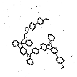 C=Cc1ccc(-c2ccc(OCCCCC3(c4ccccc4)c4ccccc4-c4ccc(N(c5ccccc5)c5ccc(-c6ccc7c(c6)c6cc(-c8ccc(C=C)cc8)ccc6n7-c6ccccc6)cc5)cc43)cc2)cc1